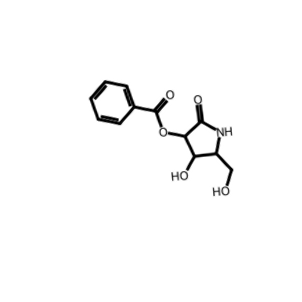 O=C(OC1C(=O)NC(CO)C1O)c1ccccc1